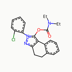 CCN(CC)C(=O)Oc1c2c(nn1-c1ccccc1Cl)CCc1ccccc1-2